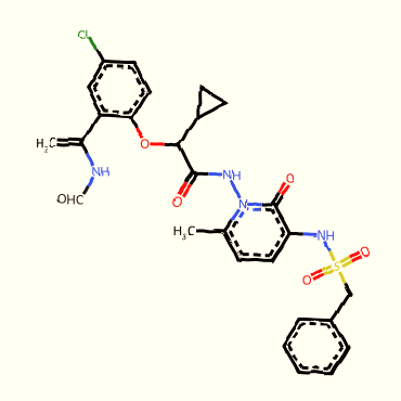 C=C(NC=O)c1cc(Cl)ccc1OC(C(=O)Nn1c(C)ccc(NS(=O)(=O)Cc2ccccc2)c1=O)C1CC1